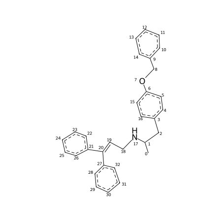 CC(Cc1ccc(OCc2ccccc2)cc1)NCC=C(c1ccccc1)c1ccccc1